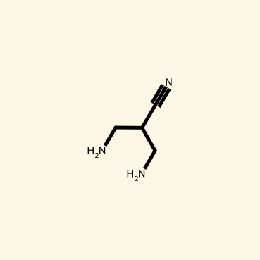 N#CC(CN)CN